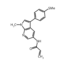 C=CC(=O)Nc1cnc2c(c1)c(-c1ccc(SC)cc1)cn2C